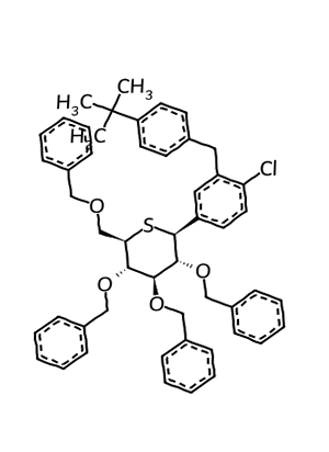 CC(C)(C)c1ccc(Cc2cc([C@@H]3S[C@H](COCc4ccccc4)[C@@H](OCc4ccccc4)[C@H](OCc4ccccc4)[C@H]3OCc3ccccc3)ccc2Cl)cc1